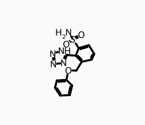 NS(=O)(=O)c1cccc(COc2ccccc2)c1-c1nnn[nH]1